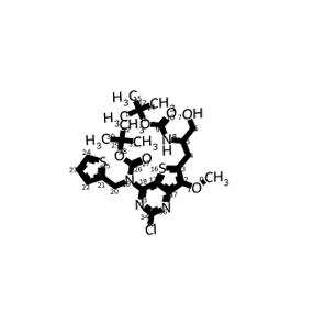 COc1c(CC(CO)NC(=O)OC(C)(C)C)sc2c(N(Cc3cccs3)C(=O)OC(C)(C)C)nc(Cl)nc12